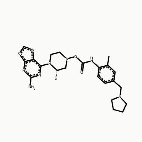 Cc1cc(CN2CCCC2)ccc1NC(=O)ON1CCN(c2nc(N)nc3scnc23)[C@@H](C)C1